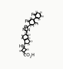 Cc1cc(-c2nc(-c3ccc4c(c3)CCC4NC3CC(C(=O)O)C3)no2)c(F)cc1-c1ccccc1F